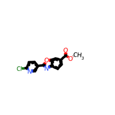 COC(=O)c1ccc2nc(-c3ccc(Cl)nc3)oc2c1